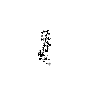 O=C(Nc1cc2cc(-c3cnn4c3CN(CCF)CC4)ncc2cn1)C1CCNCC1